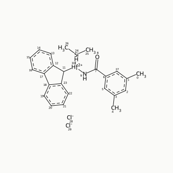 Cc1cc(C)cc(C(=O)[NH][Hf+2]([CH]2c3ccccc3-c3ccccc32)[SiH](C)C)c1.[Cl-].[Cl-]